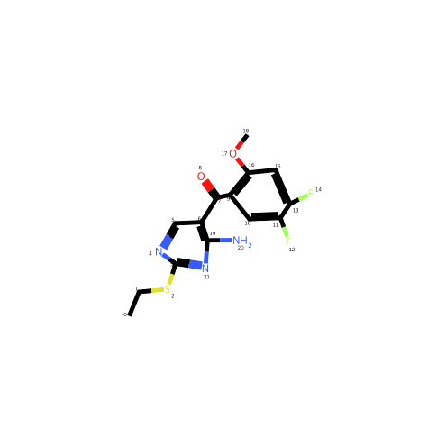 CCSc1ncc(C(=O)c2cc(F)c(F)cc2OC)c(N)n1